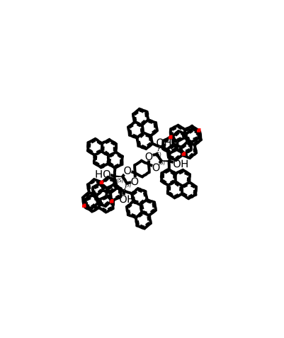 OC(c1ccc2ccc3cccc4ccc1c2c34)(c1ccc2ccc3cccc4ccc1c2c34)[C@H]1OC2(CCC3(CC2)O[C@H](C(O)(c2ccc4ccc5cccc6ccc2c4c56)c2ccc4ccc5cccc6ccc2c4c56)[C@@H](C(O)(c2ccc4ccc5cccc6ccc2c4c56)c2ccc4ccc5cccc6ccc2c4c56)O3)O[C@@H]1C(O)(c1ccc2ccc3cccc4ccc1c2c34)c1ccc2ccc3cccc4ccc1c2c34